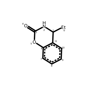 CCC1NC(=O)Oc2ccccc21